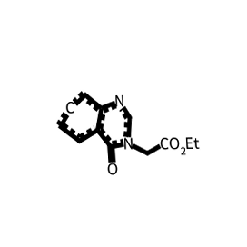 CCOC(=O)Cn1cnc2ccccc2c1=O